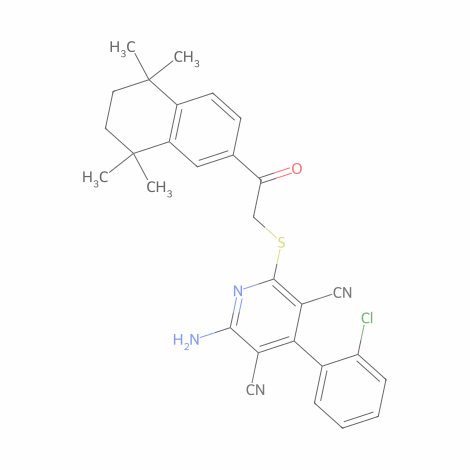 CC1(C)CCC(C)(C)c2cc(C(=O)CSc3nc(N)c(C#N)c(-c4ccccc4Cl)c3C#N)ccc21